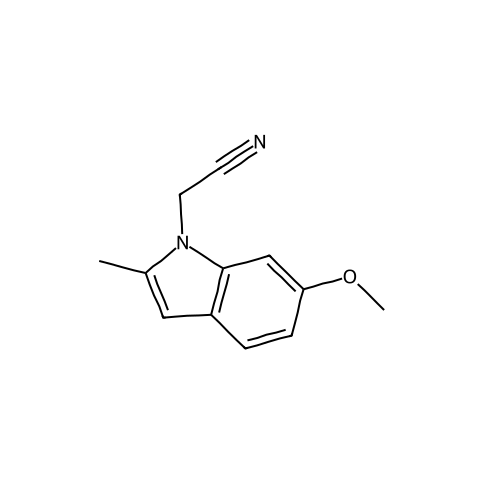 COc1ccc2cc(C)n(CC#N)c2c1